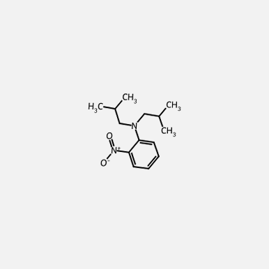 CC(C)CN(CC(C)C)c1ccccc1[N+](=O)[O-]